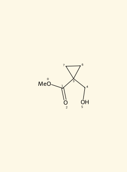 COC(=O)C1(CO)CC1